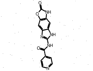 O=C(Nc1nc2cc3oc(=O)[nH]c3cc2[nH]1)c1ccncc1